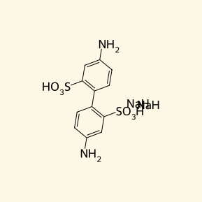 Nc1ccc(-c2ccc(N)cc2S(=O)(=O)O)c(S(=O)(=O)O)c1.[NaH].[NaH]